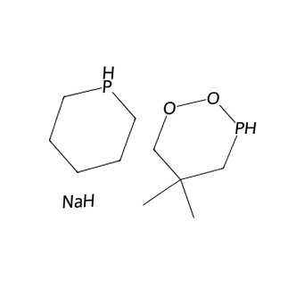 C1CCPCC1.CC1(C)COOPC1.[NaH]